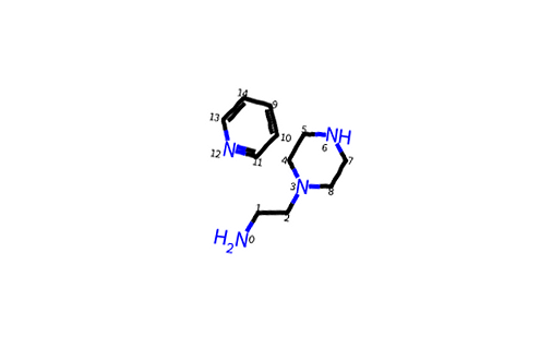 NCCN1CCNCC1.c1ccncc1